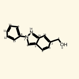 OCc1ccc2cn(-c3ccccc3)nc2c1